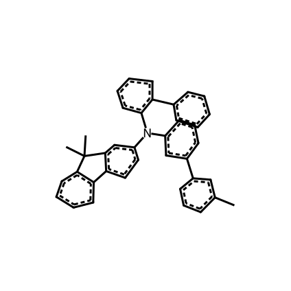 Cc1cccc(-c2cccc(N(c3ccc4c(c3)C(C)(C)c3ccccc3-4)c3ccccc3-c3ccccc3)c2)c1